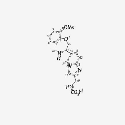 COc1cccc2c1OCC(c1ccc3nc(CNC(=O)O)cn3c1)NC2